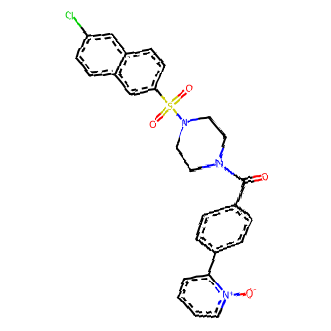 O=C(c1ccc(-c2cccc[n+]2[O-])cc1)N1CCN(S(=O)(=O)c2ccc3cc(Cl)ccc3c2)CC1